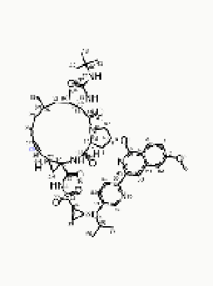 COc1ccc2c(O[C@@H]3C[C@H]4C(=O)N[C@]5(C(=O)NS(=O)(=O)C6CC6)C[C@H]5/C=C\CC[C@@H](C)C[C@@H](C)[C@H](NC(=O)NC(C)(C)C)C(=O)N4C3)nc(-c3ccc(OC(C)C)cn3)cc2c1